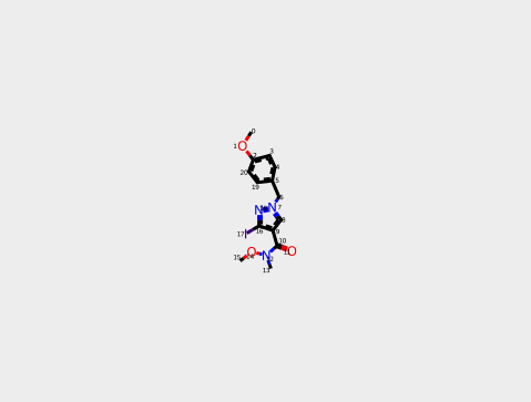 COc1ccc(Cn2cc(C(=O)N(C)OC)c(I)n2)cc1